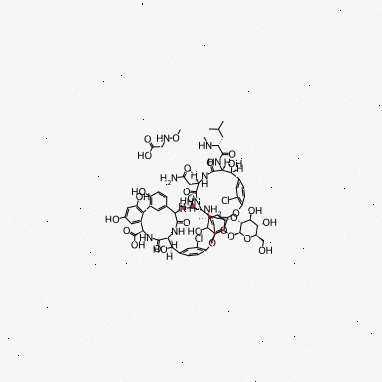 CN[C@H](CC(C)C)C(=O)N[C@H]1C(=O)N[C@@H](CC(N)=O)C(=O)N[C@H]2C(=O)N[C@H]3C(=O)N[C@H](C(=O)N[C@@H](C(=O)O)c4cc(O)cc(O)c4-c4cc3ccc4O)[C@H](O)c3ccc(c(Cl)c3)Oc3cc2cc(c3O[C@@H]2O[C@H](CO)[C@@H](O)[C@H](O)[C@H]2O[C@H]2C[C@](C)(N)C(O)[C@H](C)O2)Oc2ccc(cc2Cl)[C@H]1O.CONCC(=O)O